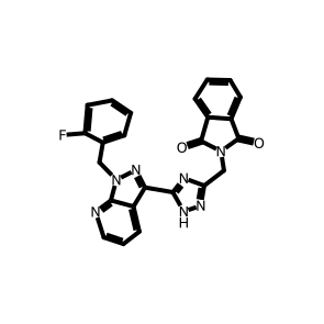 O=C1c2ccccc2C(=O)N1Cc1n[nH]c(-c2nn(Cc3ccccc3F)c3ncccc23)n1